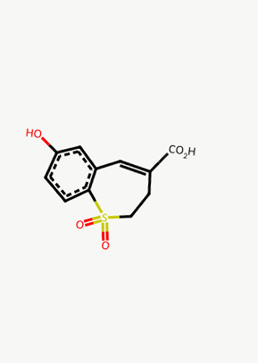 O=C(O)C1=Cc2cc(O)ccc2S(=O)(=O)CC1